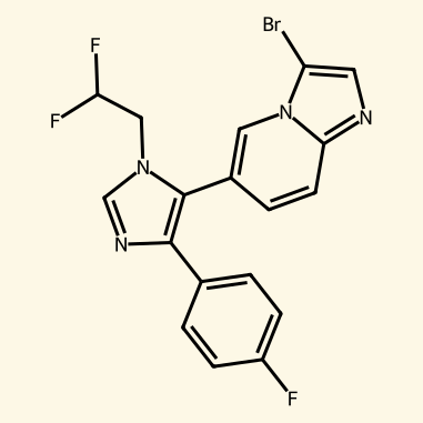 Fc1ccc(-c2ncn(CC(F)F)c2-c2ccc3ncc(Br)n3c2)cc1